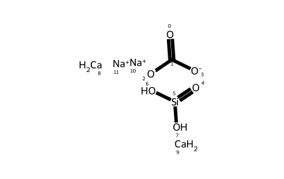 O=C([O-])[O-].O=[Si](O)O.[CaH2].[CaH2].[Na+].[Na+]